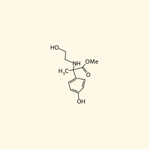 COC(=O)C(C)(NCCO)c1ccc(O)cc1